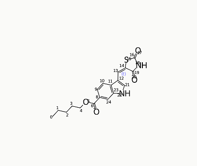 CCCCCOC(=O)c1ccc2c(/C=C3/SC(=O)NC3=O)c[nH]c2c1